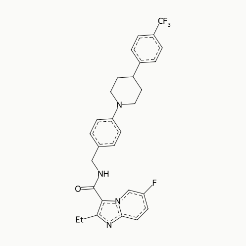 CCc1nc2ccc(F)cn2c1C(=O)NCc1ccc(N2CCC(c3ccc(C(F)(F)F)cc3)CC2)cc1